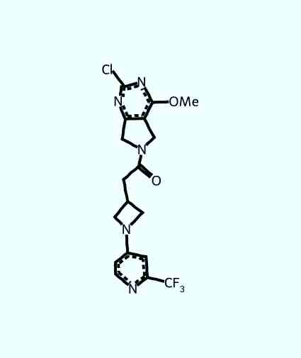 COc1nc(Cl)nc2c1CN(C(=O)CC1CN(c3ccnc(C(F)(F)F)c3)C1)C2